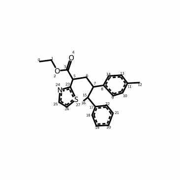 CCOC(=O)C(CC(c1ccc(C)cc1)C(C)c1ccccc1)c1nccs1